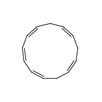 [CH]1C=CCC=CC=CC=CCC=C1